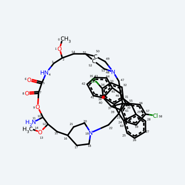 COC1CNC(=O)C(=O)OC(N)C(OC)CC2CCN(CC2)CC23c4ccccc4C(c4ccc(Cl)cc42)C32C3c4ccccc4C2(CN2CCC(CC2)C1)c1cc(Cl)ccc13